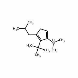 C[C](C)CC1=C(C(C)(C)C)C([SiH](C)C)=CC1